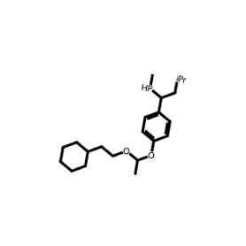 CPC(CC(C)C)c1ccc(OC(C)OCCC2CCCCC2)cc1